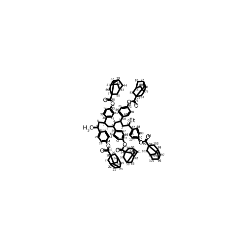 CCC(CC(CC(CC(CC(C)c1ccc(OC(=O)C23CC4CC(CC(C4)C2)C3)cc1)c1ccc(OC(=O)C23CC4CC(CC(C4)C2)C3)cc1)c1ccc(OC(=O)C23CC4CC(CC(C4)C2)C3)cc1)c1ccc(OC(=O)C23CC4CC(CC(C4)C2)C3)cc1)c1ccc(OC(=O)C23CC4CC(CC(C4)C2)C3)cc1